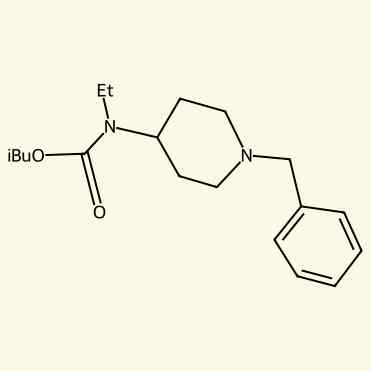 CCN(C(=O)OCC(C)C)C1CCN(Cc2ccccc2)CC1